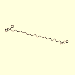 O=C=NCCCCCCCCCCCCCCCCCCCC[SiH](Cl)Cl